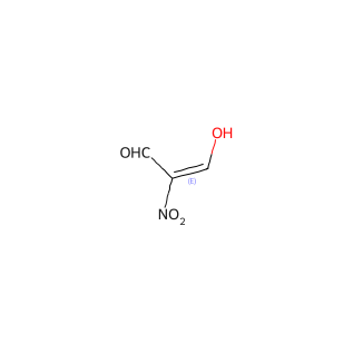 O=C/C(=C\O)[N+](=O)[O-]